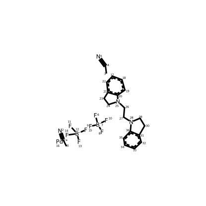 CC#N.CC#N.F[B-](F)(F)F.F[B-](F)(F)F.[Pd+2].c1ccc2c(c1)CCN2CCN1CCc2ccccc21